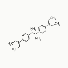 CCN(CC)c1ccc(C(N)C(N)c2ccc(N(CC)CC)cc2)cc1